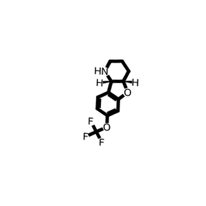 FC(F)(F)Oc1ccc2c(c1)O[C@H]1CCCN[C@@H]21